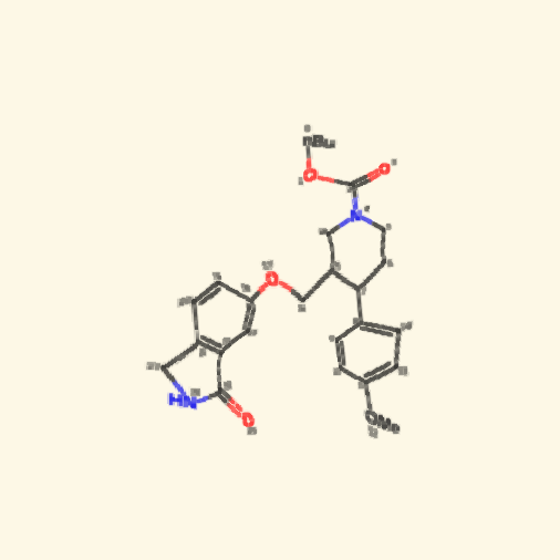 CCCCOC(=O)N1CCC(c2ccc(OC)cc2)C(COc2ccc3c(c2)C(=O)NC3)C1